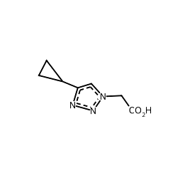 O=C(O)Cn1cc(C2CC2)nn1